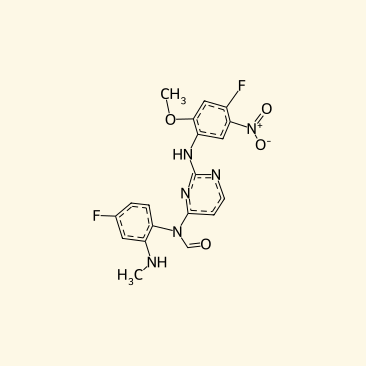 CNc1cc(F)ccc1N(C=O)c1ccnc(Nc2cc([N+](=O)[O-])c(F)cc2OC)n1